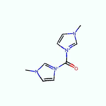 Cn1cc[n+](C(=O)[n+]2ccn(C)c2)c1